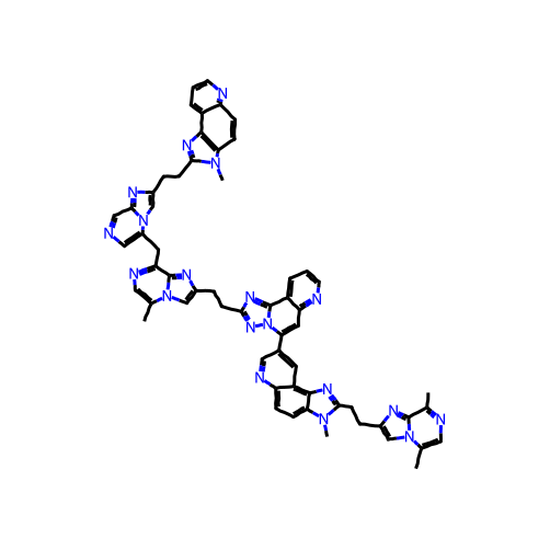 Cc1ncc(C)n2cc(CCc3nc4c5cc(-c6cc7ncccc7c7nc(CCc8cn9c(C)cnc(Cc%10cncc%11nc(CCc%12nc%13c%14cccnc%14ccc%13n%12C)cn%10%11)c9n8)nn67)cnc5ccc4n3C)nc12